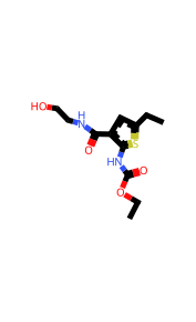 CCOC(=O)Nc1sc(CC)cc1C(=O)NCCO